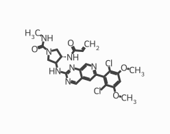 C=CC(=O)N[C@H]1CN(C(=O)NC)CC1Nc1ncc2cc(-c3c(Cl)c(OC)cc(OC)c3Cl)ncc2n1